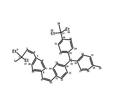 CCC(C)(/C=C\c1ccc(/C=C\c2ccc(N(c3ccc(C)cc3)c3ccc(C(C)(CC)CC)cc3)cc2)cc1)CC